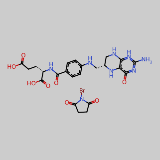 Nc1nc(=O)c2c([nH]1)NC[C@@H](CNc1ccc(C(=O)N[C@@H](CCC(=O)O)C(=O)O)cc1)N2.O=C1CCC(=O)N1Br